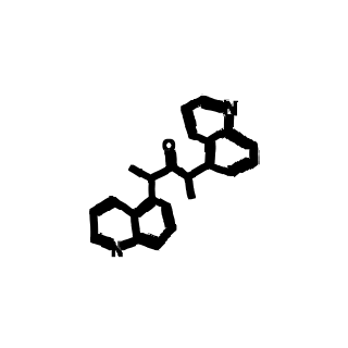 CC(C(=O)C(C)c1cccc2ncccc12)c1cccc2ncccc12